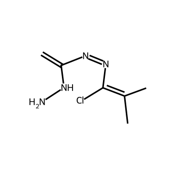 C=C(/N=N\C(Cl)=C(C)C)NN